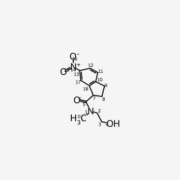 CN(CCO)C(=O)C1CCc2ccc([N+](=O)[O-])cc21